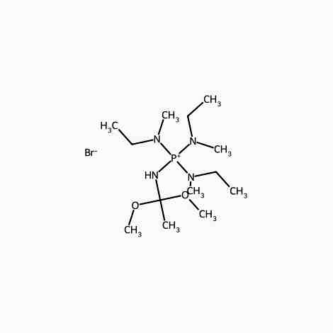 CCN(C)[P+](NC(C)(OC)OC)(N(C)CC)N(C)CC.[Br-]